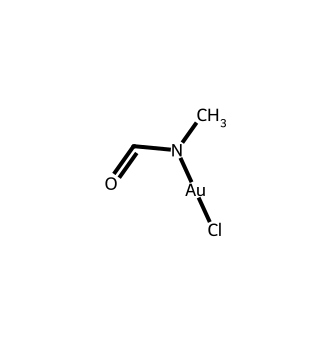 C[N](C=O)[Au][Cl]